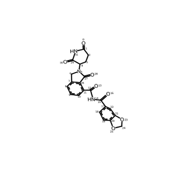 O=C1CCC(N2Cc3cccc(C(=O)NC(=O)c4ccc5c(c4)OCO5)c3C2=O)C(=O)N1